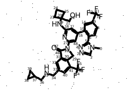 Cn1cnnc1-c1ccc(C(F)(F)F)cc1-c1cc(NC2(CO)CCC2)nc(N2Cc3c(cc(CNCC4CC4)cc3C(F)(F)F)C2=O)c1